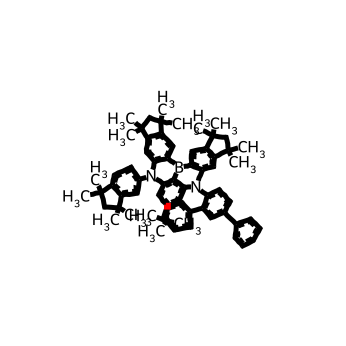 CC(C)(C)c1cc2c3c(c1)N(c1ccc(-c4ccccc4)cc1-c1ccccc1)c1cc4c(cc1B3c1cc3c(cc1N2c1ccc2c(c1)C(C)(C)CC2(C)C)C(C)(C)CC3(C)C)C(C)(C)CC4(C)C